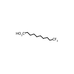 O=C(O)CCCCCCCCC(F)(F)F